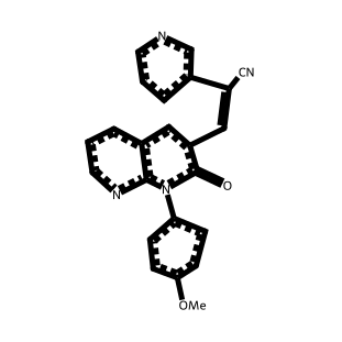 COc1ccc(-n2c(=O)c(/C=C(/C#N)c3cccnc3)cc3cccnc32)cc1